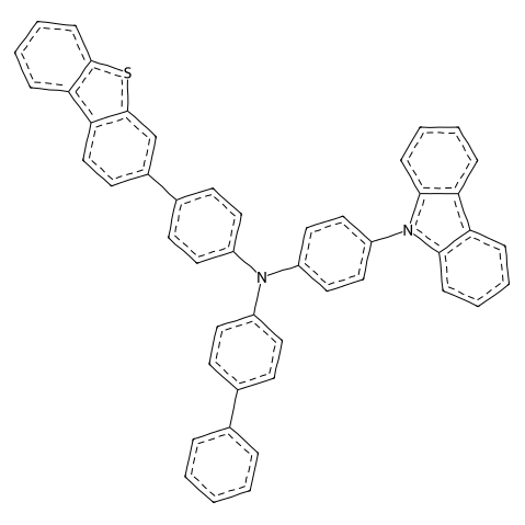 c1ccc(-c2ccc(N(c3ccc(-c4ccc5c(c4)sc4ccccc45)cc3)c3ccc(-n4c5ccccc5c5ccccc54)cc3)cc2)cc1